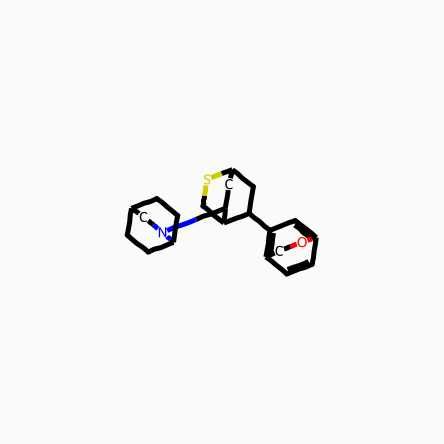 c1cc2c(C3CC4CC(N5CC6CCC5CC6)C3CS4)cc1OC2